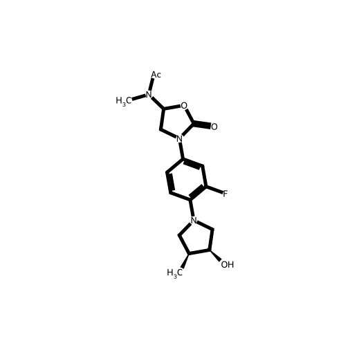 CC(=O)N(C)C1CN(c2ccc(N3C[C@@H](O)[C@@H](C)C3)c(F)c2)C(=O)O1